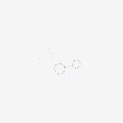 Cn1ccc(-c2cc(N(CCO)CCO)ccc2N)c1